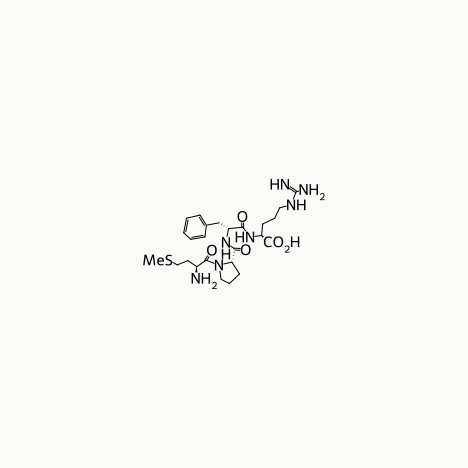 CSCC[C@H](N)C(=O)N1CCC[C@H]1C(=O)N[C@H](Cc1ccccc1)C(=O)N[C@@H](CCCNC(=N)N)C(=O)O